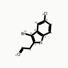 O=CCc1sc2ccc(Cl)cc2c1Br